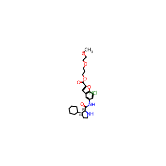 COCCOCCCOC(=O)c1cc2cc(NC(=O)[C@H]3NCC[C@H]3C3CCCCC3)ccc2o1.Cl